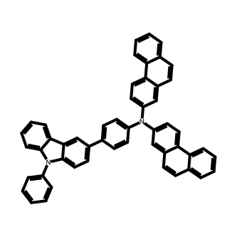 c1ccc(-n2c3ccccc3c3cc(-c4ccc(N(c5ccc6c(ccc7ccccc76)c5)c5ccc6c(ccc7ccccc76)c5)cc4)ccc32)cc1